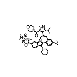 COc1ccc2c(c1)C=C(c1c(C(=O)N3C[C@@H](C)O[C@@H](C)C3)nnn1C(C)C)Cn1c-2c(C2CCCCC2)c2ccc(C(=O)NS(=O)(=O)N(C)C)cc21